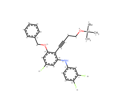 CC(C)(C)[Si](C)(C)OCCC#Cc1c(Nc2ccc(F)c(F)c2)cc(F)cc1OCc1ccccc1